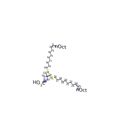 CCCCCCCC/C=C\CCCCCCCCSCC1(CSCCCCCCCC/C=C\CCCCCCCC)CN(C(=O)O)C1